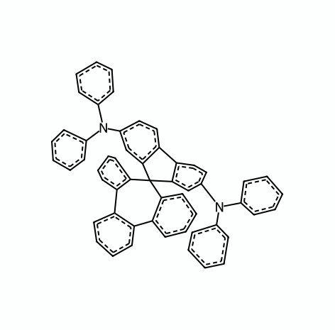 c1ccc(N(c2ccccc2)c2ccc3c(c2)C2(c4ccccc4-c4ccccc4-c4ccccc42)c2cc(N(c4ccccc4)c4ccccc4)ccc2-3)cc1